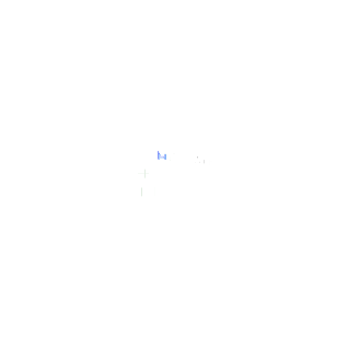 Cl.Cl.Cl.N.[Au]